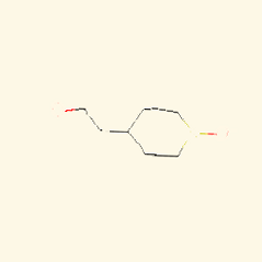 [O]CCC1CC[S+]([O-])CC1